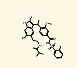 COc1cc(C(=O)NS(=O)(=O)c2ccccc2C)ccc1C(C)c1c(Cl)[nH]c2cc(Cl)c(CCNC(=O)N(C)C)cc12